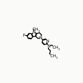 CCCCN(CC)c1ccc(N2CCc3c(c4ccc(F)cc4n3C)C2)cn1